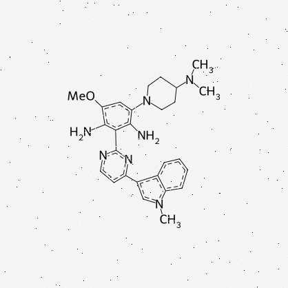 COc1cc(N2CCC(N(C)C)CC2)c(N)c(-c2nccc(-c3cn(C)c4ccccc34)n2)c1N